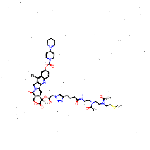 CCCSCCN(CCN(CCNC(=O)CCCc1cn(CC(=O)O[C@]2(CC)C(=O)OCc3c2cc2n(c3=O)Cc3c-2nc2ccc(OC(=O)N4CCC(N5CCCCC5)CC4)cc2c3CC)nn1)C(=O)CC)C(=O)CC